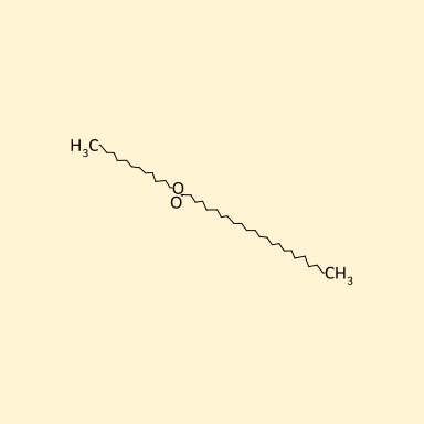 CCCCCCCCCCCCCCCCCCCCCCCC(=O)OCCCCCCCCCCCCC